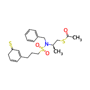 CC(=O)SC[C@@H](C)N(Cc1ccccc1)S(=O)(=O)CCCC1=CC(=S)CC=C1